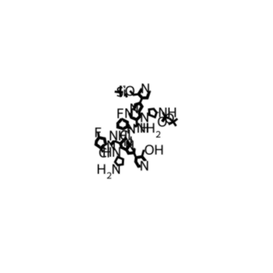 CC(C)(C)OC(=O)N[C@H]1CC[C@@H](Nc2c(C(N)=Nc3cc(F)ccc3Cl)cnn3cc(-c4ccncc4CO[Si](C)(C)C(C)(C)C)cc23)C1.NC(=Nc1cc(F)ccc1Cl)c1cnn2cc(-c3ccncc3CO)cc2c1N[C@@H]1CC[C@H](N)C1